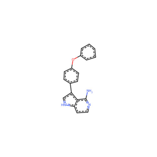 Nc1nccc2[nH]cc(-c3ccc(Oc4ccccc4)cc3)c12